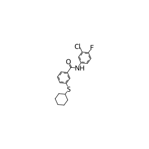 O=C(Nc1ccc(F)c(Cl)c1)c1cccc(SC2CCCCC2)c1